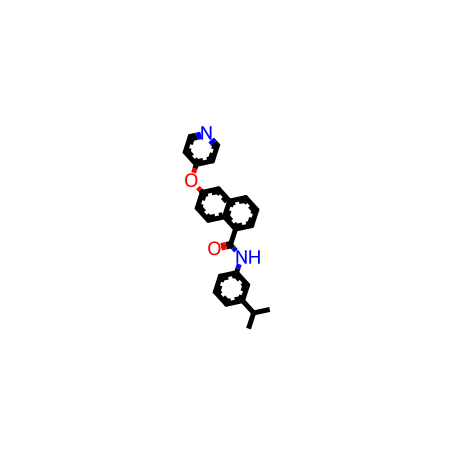 CC(C)c1cccc(NC(=O)c2cccc3cc(Oc4ccncc4)ccc23)c1